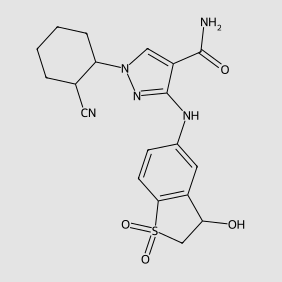 N#CC1CCCCC1n1cc(C(N)=O)c(Nc2ccc3c(c2)C(O)CS3(=O)=O)n1